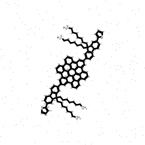 CCCCCCCCC1(CCCCCCCC)c2cc(-c3cc4c5cccc6c7cccc8c9cc(-c%10ccc%11c(c%10)C(CCCCCCCC)(CCCCCCCC)C%10C=C(c%12cccs%12)C=CC%11%10)cc%10c%11cccc%12c%13cccc%14c(c3)c4c3c(c65)c(c78)c(c9%10)c(c%12%11)c3c%13%14)ccc2C2C=CC(c3cccs3)=CC21